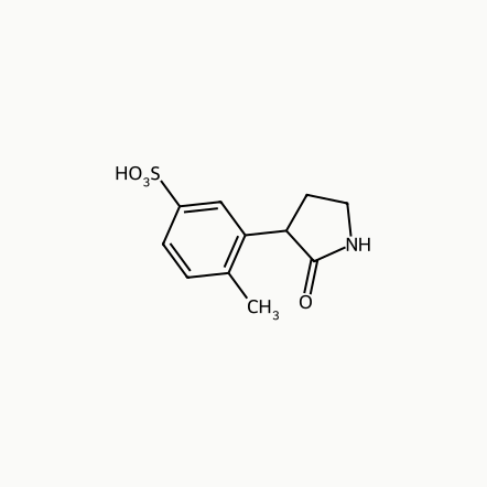 Cc1ccc(S(=O)(=O)O)cc1C1CCNC1=O